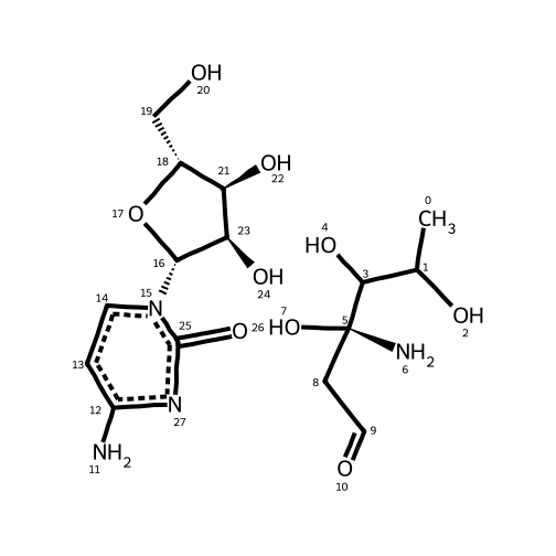 CC(O)C(O)[C@@](N)(O)CC=O.Nc1ccn([C@@H]2O[C@H](CO)[C@@H](O)[C@H]2O)c(=O)n1